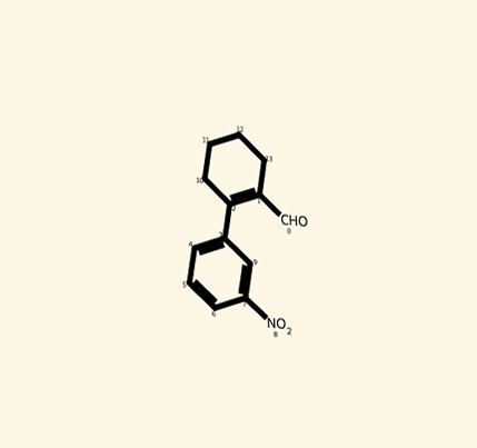 O=CC1=C(c2cccc([N+](=O)[O-])c2)CCCC1